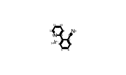 N#Cc1ccccc1-c1ccccn1.[Ir]